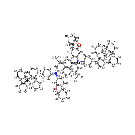 CC(C)c1cc(N(c2ccc(-c3cccc([Si](c4ccccc4)(c4ccccc4)c4ccccc4)c3)cc2)c2ccc3c(c2)oc2ccccc23)c2ccc3c(C(C)C)cc(N(c4ccc(-c5cccc([Si](c6ccccc6)(c6ccccc6)c6ccccc6)c5)cc4)c4ccc5c(c4)oc4ccccc45)c4ccc1c2c34